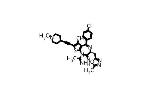 CC(=N)N1C(=N)[C@H](Cc2nnc(C)o2)N=C(c2ccc(Cl)cc2)c2c1sc(C#CC1CCN(C)CC1)c2C